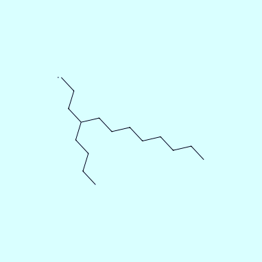 [CH2]CCC(CCCC)CCCCCCCC